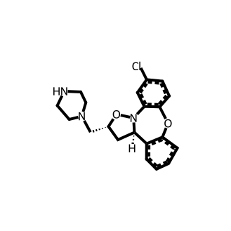 Clc1ccc2c(c1)N1O[C@@H](CN3CCNCC3)C[C@@H]1c1ccccc1O2